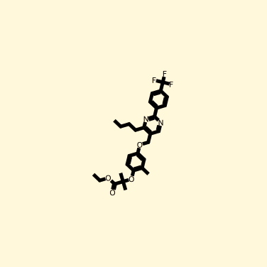 CCCCc1nc(-c2ccc(C(F)(F)F)cc2)ncc1COc1ccc(OC(C)(C)C(=O)OCC)c(C)c1